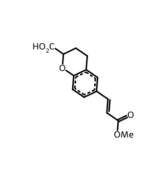 COC(=O)/C=C/c1ccc2c(c1)CCC(C(=O)O)O2